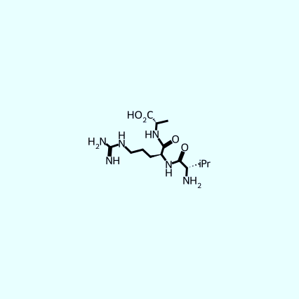 CC(C)[C@H](N)C(=O)N[C@@H](CCCNC(=N)N)C(=O)N[C@@H](C)C(=O)O